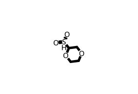 O=[SH](=O)C1COCCO1